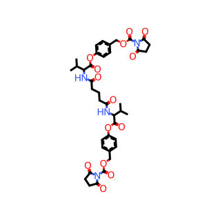 CC(C)C(NC(=O)CCCC(=O)NC(C(=O)Oc1ccc(COC(=O)N2C(=O)CCC2=O)cc1)C(C)C)C(=O)Oc1ccc(COC(=O)N2C(=O)CCC2=O)cc1